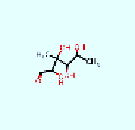 CC(O)C(O)C(C)(O)C(O)C=O